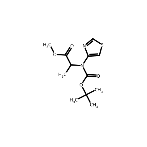 COC(=O)C(C)N(C(=O)OC(C)(C)C)c1cscn1